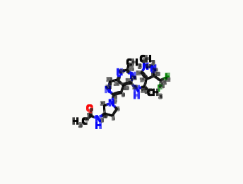 CC(=O)N[C@@H]1CCN(c2cc3c(N[C@H](C)c4cn(C)nc4C(F)F)nc(C)nc3cn2)C1